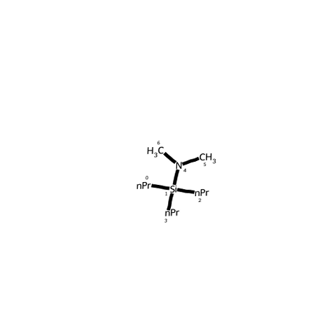 CCC[Si](CCC)(CCC)N(C)C